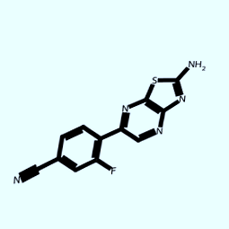 N#Cc1ccc(-c2cnc3nc(N)sc3n2)c(F)c1